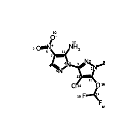 Cn1nc(-n2ncc([N+](=O)[O-])c2N)c(Cl)c1OC(F)F